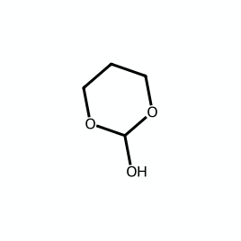 OC1OCCCO1